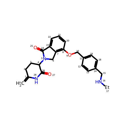 C=C1CCC(N2Cc3c(OCc4ccc(CNCC)cc4)cccc3C2=O)C(=O)N1